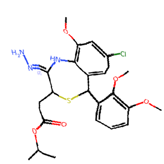 COc1cc(Cl)cc2c1N/C(=N\N)C(CC(=O)OC(C)C)SC2c1cccc(OC)c1OC